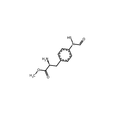 COC(=O)[C@@H](N)Cc1ccc(N(S)C=O)cc1